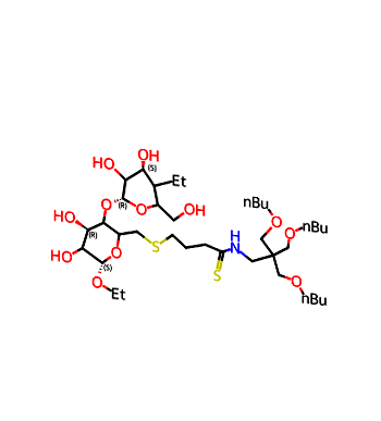 CCCCOCC(CNC(=S)CCCSCC1O[C@H](OCC)C(O)[C@@H](O)C1O[C@H]1OC(CO)C(CC)[C@H](O)C1O)(COCCCC)COCCCC